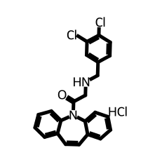 Cl.O=C(CNCc1ccc(Cl)c(Cl)c1)N1c2ccccc2C=Cc2ccccc21